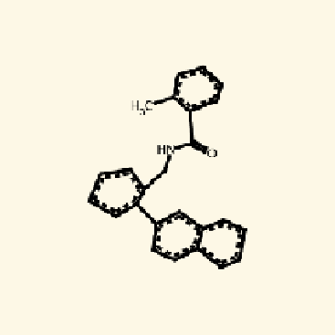 Cc1ccccc1C(=O)NCc1ccccc1-c1ccc2ccccc2c1